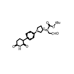 CC(C)(C)OC(=O)N(CC=O)[C@@H]1CCN(c2ccc(C3CCC(=O)NC3=O)cc2)C1